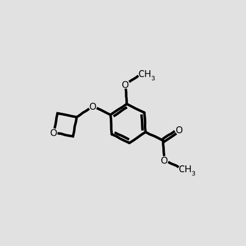 COC(=O)c1ccc(OC2COC2)c(OC)c1